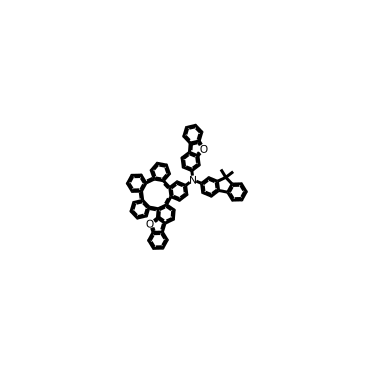 CC1(C)c2ccccc2-c2ccc(N(c3ccc4c(c3)oc3ccccc34)c3ccc4c(c3)c3ccccc3c3ccccc3c3ccccc3c3c4ccc4c5ccccc5oc43)cc21